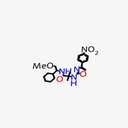 COCC(NC(=O)C(C)(C)Nc1nc(-c2ccc([N+](=O)[O-])cc2)co1)C1CCCCC1